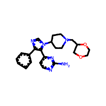 Nc1nccc(-c2c(-c3ccccc3)ncn2C2CCN(CC3COCCO3)CC2)n1